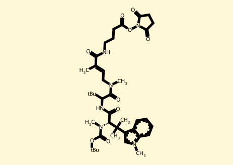 C/C(=C\CN(C)C(=O)C(NC(=O)[C@@H](N(C)C(=O)OC(C)(C)C)C(C)(C)c1cn(C)c2ccccc12)C(C)(C)C)C(=O)NCCCC(=O)ON1C(=O)CCC1=O